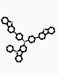 c1ccc(-n2c3ccccc3c3ccc(N(c4ccc(-c5ccc6c(c5)oc5ccccc56)cc4)c4ccc(-c5ccc6c(c5)oc5ccccc56)cc4)cc32)cc1